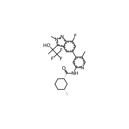 Cc1cnc(NC(=O)[C@H]2CCC[C@@H](C)C2)cc1-c1cc(F)c2nn(C)c(C(C)(O)C(F)(F)F)c2c1